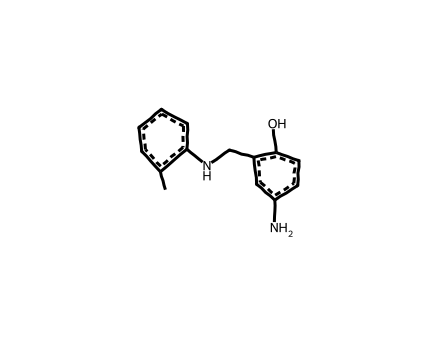 Cc1ccccc1NCc1cc(N)ccc1O